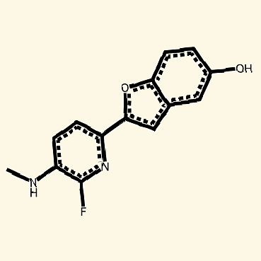 CNc1ccc(-c2cc3cc(O)ccc3o2)nc1F